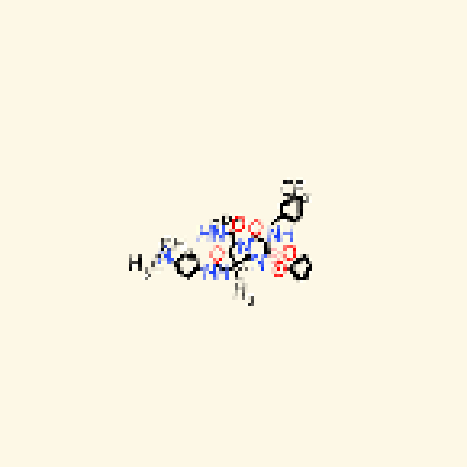 CCCNC(=O)C1CC(C)(CC(=O)Nc2ccc(N(C)C)cc2)c2nc(B3Oc4ccccc4O3)c(NCc3cccc(C(F)(F)F)c3)c(=O)n21